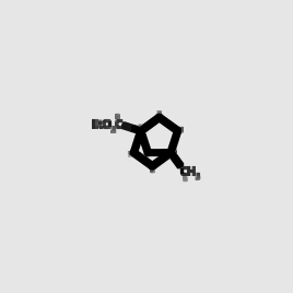 CCOC(=O)C12CCC(C)(CC1)C2